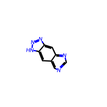 c1ncc2cc3[nH]nnc3cc2n1